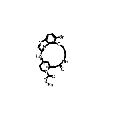 CC(C)(C)OC(=O)N1CC[C@H]2C[C@H]1CC(=O)NCCCOc1c(Br)ccc3ncc(nc13)N2